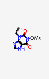 COn1c(=O)c2[nH]cnc2n(CC(C)C)c1=O